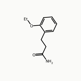 CCOc1ccccc1CCC(N)=O